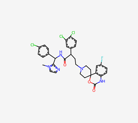 Cn1ccnc1C(NC(=O)C(CCN1CCC2(CC1)OC(=O)Nc1ccc(F)cc12)c1ccc(Cl)c(Cl)c1)c1ccc(Cl)cc1